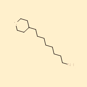 NCCCCCCCCC1CCNCC1